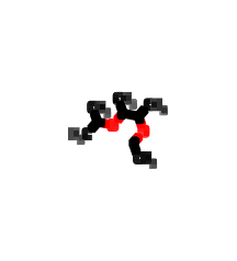 CCOC(C)[C](C)OC(C)C